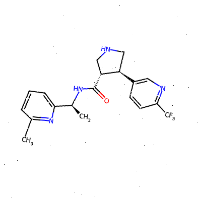 Cc1cccc([C@H](C)NC(=O)[C@@H]2CNC[C@H]2c2ccc(C(F)(F)F)nc2)n1